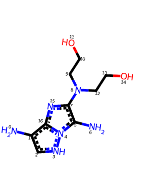 Nc1c[nH]n2c(N)c(N(CCO)CCO)nc12